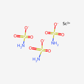 NS(=O)(=O)[O-].NS(=O)(=O)[O-].NS(=O)(=O)[O-].[Sc+3]